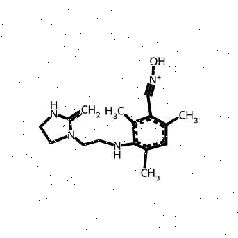 C=C1NCCN1CCNc1c(C)cc(C)c(C#[N+]O)c1C